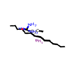 CC(=O)O.CCCCCCCCCCCCCC.N=C(N)N.P